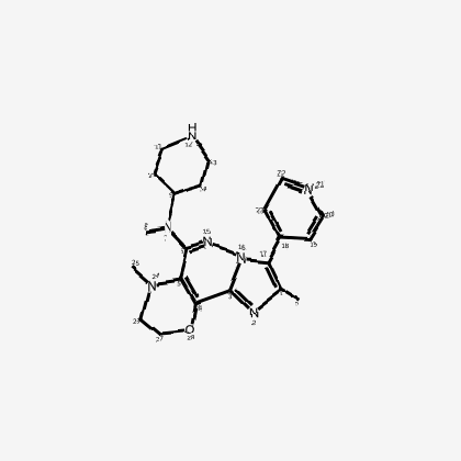 Cc1nc2c3c(c(N(C)C4CCNCC4)nn2c1-c1ccncc1)N(C)CCO3